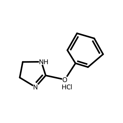 Cl.c1ccc(OC2=NCCN2)cc1